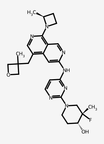 C[C@H]1CCN1c1ncc(CC2(C)COC2)c2cc(Nc3ccnc(N4CC[C@@H](O)[C@@](C)(F)C4)n3)ncc12